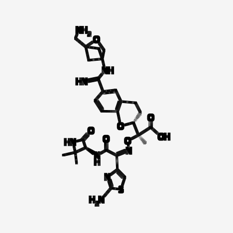 CC1(C)NC(=O)[C@H]1NC(=O)/C(=N\O[C@](C)(C(=O)O)[C@H]1CCc2cc(C(=N)NC34COC(CN)(C3)C4)ccc2O1)c1csc(N)n1